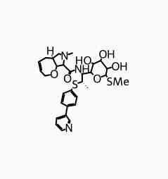 CSC1OC([C@H](NC(=O)C2C3OCC=CC[C@H]3CN2C)[C@H](C)Sc2ccc(-c3cccnc3)cc2)C(O)C(O)C1O